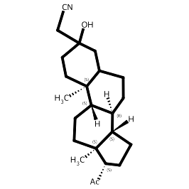 CC(=O)[C@H]1CC[C@H]2[C@@H]3CCC4CC(O)(CC#N)CC[C@]4(C)[C@H]3CC[C@]12C